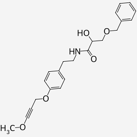 COC#CCOc1ccc(CCNC(=O)C(O)COCc2ccccc2)cc1